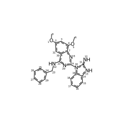 COc1cc(OC)c2nc(-n3c(=N)[nH]c4ccccc43)nc(NCc3ccccc3)c2c1